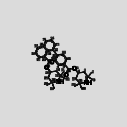 CC1(C)CC(OC(=O)c2ccc(-c3cccc4cccc(C(=O)OC5CC(C)(C)NC(C)(C)C5)c34)cc2)CC(C)(C)N1